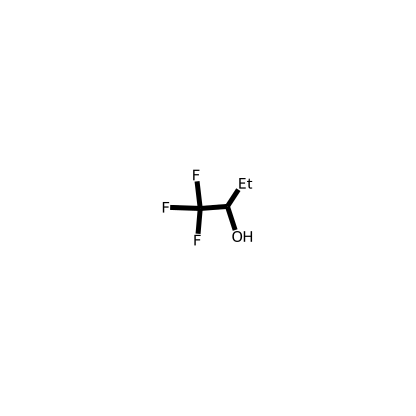 CCC(O)C(F)(F)F